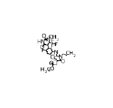 C=CCN1C(=O)C(CC(=O)OC)SC1=Nc1cc(-c2c(C(F)(F)F)n(C)c(=O)[nH]c2=O)c(F)cc1Cl